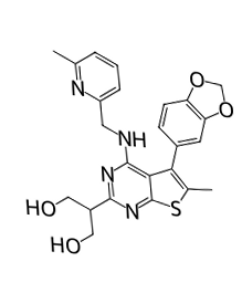 Cc1cccc(CNc2nc(C(CO)CO)nc3sc(C)c(-c4ccc5c(c4)OCO5)c23)n1